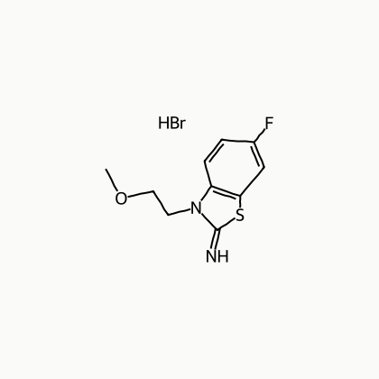 Br.COCCn1c(=N)sc2cc(F)ccc21